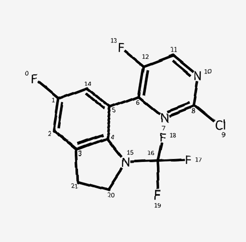 Fc1cc2c(c(-c3nc(Cl)ncc3F)c1)N(C(F)(F)F)CC2